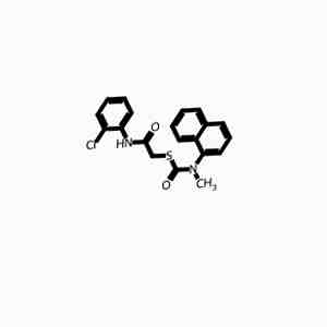 CN(C(=O)SCC(=O)Nc1ccccc1Cl)c1cccc2ccccc12